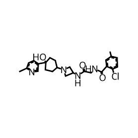 Cc1ccc(Cl)c(C(=O)NCC(=O)NC2CN(C3CCC(O)(c4ccc(C)nc4)CC3)C2)c1